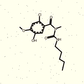 CCCCCNC(=O)N(C)C(=O)c1cc(O)c(OC)cc1Cl